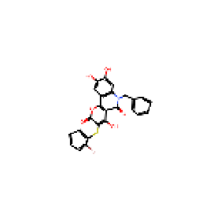 O=c1oc2c(c(O)c1Sc1ccccc1Br)c(=O)n(Cc1ccccc1)c1cc(O)c(O)cc21